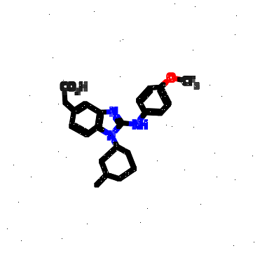 CC1CCCC(n2c(Nc3ccc(OC(F)(F)F)cc3)nc3cc(CC(=O)O)ccc32)C1